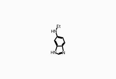 CCNc1ccc2nc[nH]c2c1